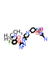 CCN(C(=O)c1cc(F)ccc1Oc1cncnc1N1CC2(CCN(C[C@H]3CC[C@H](NS(=O)(=O)N4CC(C#N)C4)CC3)CC2)C1)C(C)C